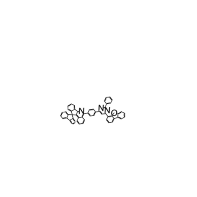 c1ccc(-c2nc(-c3ccc(-c4nc5c(c6ccccc46)C4(c6ccccc6-c6ccccc64)c4ccccc4-5)cc3)cc(-c3cccc4c3oc3ccccc34)n2)cc1